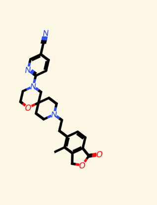 Cc1c(CCN2CCC3(CC2)CN(c2ccc(C#N)cn2)CCO3)ccc2c1COC2=O